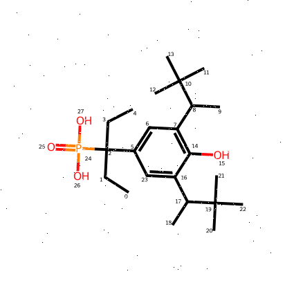 CCC(CC)(c1cc(C(C)C(C)(C)C)c(O)c(C(C)C(C)(C)C)c1)P(=O)(O)O